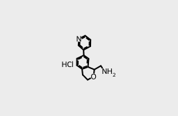 Cl.NCC1OCCc2ccc(-c3cccnc3)cc21